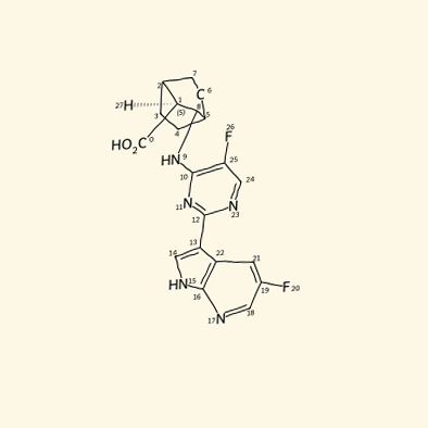 O=C(O)[C@H]1C2CCC(CC2)C1Nc1nc(-c2c[nH]c3ncc(F)cc23)ncc1F